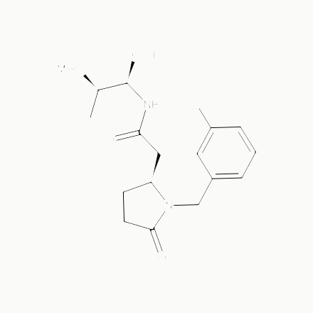 CO[C@H](C)[C@H](NC(=O)C[C@@H]1CCC(=O)N1Cc1cccc(F)c1)C(=O)O